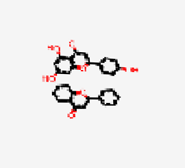 O=c1cc(-c2ccc(O)cc2)oc2cc(O)cc(O)c12.O=c1cc(-c2ccccc2)oc2ccccc12